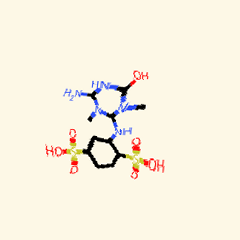 CN1C(N)NC(O)N(C)C1NC1CC(S(=O)(=O)O)CCC1S(=O)(=O)O